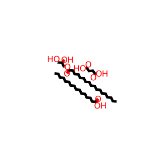 CCCCCCCCCCCCCCCC(=O)O.CCCCCCCCCCCCCCCCCC(=O)OCC(O)CO.O=C(O)CCC(=O)O